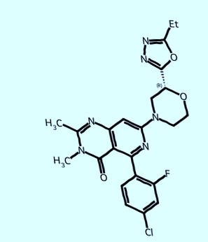 CCc1nnc([C@H]2CN(c3cc4nc(C)n(C)c(=O)c4c(-c4ccc(Cl)cc4F)n3)CCO2)o1